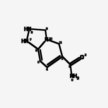 NC(=O)C1=CC=C2NNCN2C1